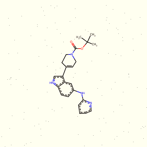 CC(C)(C)OC(=O)N1CC=C(c2c[nH]c3ccc(Nc4ccccn4)cc23)CC1